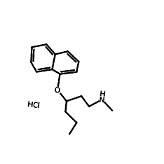 CCCC(CCNC)Oc1cccc2ccccc12.Cl